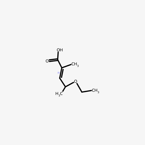 CCOC(C)/C=C(\C)C(=O)O